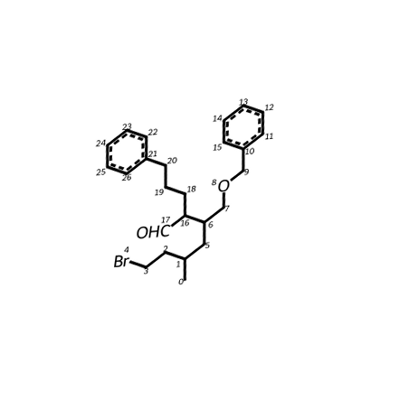 CC(CCBr)CC(COCc1ccccc1)C(C=O)CCCc1ccccc1